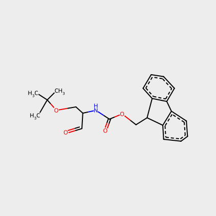 CC(C)(C)OCC(C=O)NC(=O)OCC1c2ccccc2-c2ccccc21